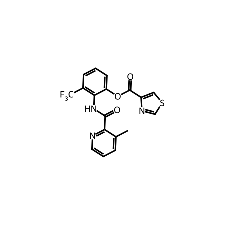 Cc1cccnc1C(=O)Nc1c(OC(=O)c2cscn2)cccc1C(F)(F)F